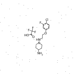 NC1CCN(NCCOc2ccc(Cl)c(F)c2)CC1.O=C(O)C(F)(F)F